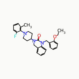 CCOc1ccccc1CN1C(=O)N(C2CCN(c3c(C)cccc3F)CC2)Cc2ccccc21